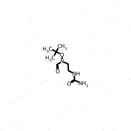 CC(C)(C)ON(C=O)CCNC(N)=O